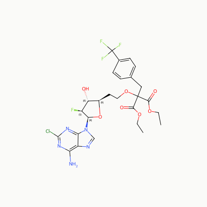 CCOC(=O)C(Cc1ccc(C(F)(F)F)cc1)(OCC[C@H]1O[C@@H](n2cnc3c(N)nc(Cl)nc32)[C@@H](F)[C@@H]1O)C(=O)OCC